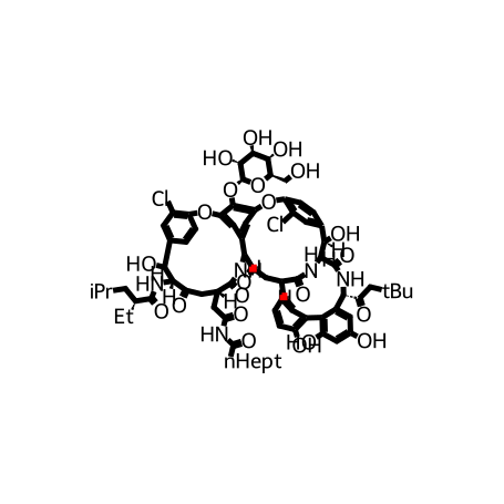 CCCCCCCC(=O)NC(=O)C[C@@H]1CC(=O)[C@H](NC(=O)[C@H](CC)CC(C)C)[C@H](O)c2ccc(c(Cl)c2)Oc2cc3cc(c2O[C@@H]2O[C@H](CO)[C@@H](O)[C@H](O)[C@H]2O)Oc2ccc(cc2Cl)[C@@H](O)[C@@H]2NC(=O)[C@H](CC(=O)[C@@H]3NC1=O)c1ccc(O)c(c1)-c1c(O)cc(O)cc1[C@@H](C(=O)CC(C)(C)C)NC2=O